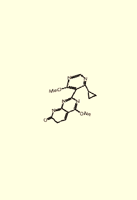 COc1ncnc(C2CC2)c1-c1nc(OC)c2c(n1)=NC(=O)CC=2